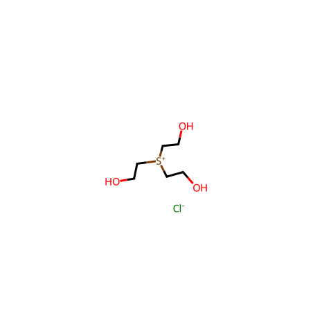 OCC[S+](CCO)CCO.[Cl-]